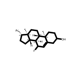 CC(=O)[C@H]1CC[C@H]2[C@@H]3C(F)C=C4CC(O)CC[C@]4(C)[C@H]3CC[C@]12C